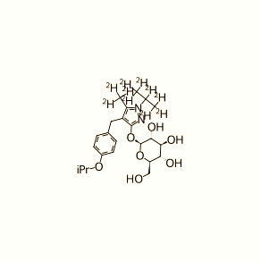 [2H]C([2H])([2H])c1c(Cc2ccc(OC(C)C)cc2)c(O[C@@H]2O[C@H](CO)[C@@H](O)[C@H](O)[C@H]2O)nn1C([2H])(C([2H])([2H])[2H])C([2H])([2H])[2H]